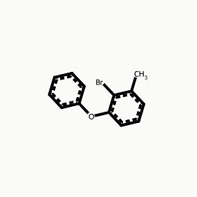 Cc1cccc(Oc2ccccc2)c1Br